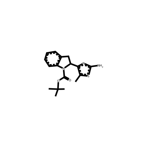 Cc1sc(N)nc1C1Cc2ccccc2N1C(=O)OC(C)(C)C